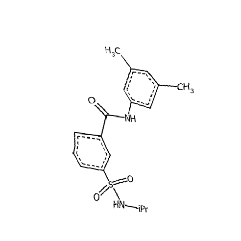 Cc1cc(C)cc(NC(=O)c2cccc(S(=O)(=O)NC(C)C)c2)c1